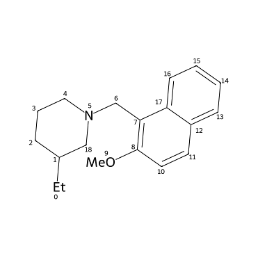 CCC1CCCN(Cc2c(OC)ccc3ccccc23)C1